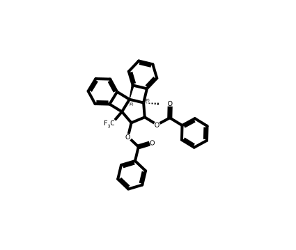 C[C@@]12c3ccccc3[C@@]13c1ccccc1C3(C(F)(F)F)C(OC(=O)c1ccccc1)C2OC(=O)c1ccccc1